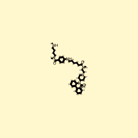 CNCCCCN(C)C(=O)c1ccc(NCCCCCC(=O)N(C)CCN2CCC(N(C(=O)O)c3ccccc3-c3ccccc3)CC2)cc1